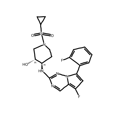 O=S(=O)(C1CC1)N1CC[C@@H](Nc2ncc3c(F)cc(-c4ccccc4F)n3n2)[C@H](O)C1